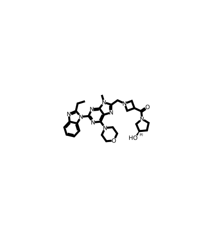 CCc1nc2ccccc2n1-c1nc(N2CCOCC2)c2nc(CN3CC(C(=O)N4CC[C@@H](O)C4)C3)n(C)c2n1